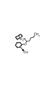 C#Cc1ccccc1OC(N)CCCC.c1cc2ccc1-2